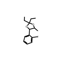 [CH2]C1OC(CC)(CC)OC1c1ccccc1I